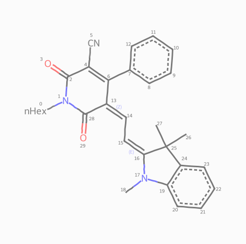 CCCCCCN1C(=O)C(C#N)=C(c2ccccc2)/C(=C/C=C2/N(C)c3ccccc3C2(C)C)C1=O